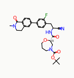 CN1CCc2cc(-c3ccc(CC(C#N)NC(=O)[C@@H]4CN(C(=O)OC(C)(C)C)CCCO4)c(F)c3)ccc2C1=O